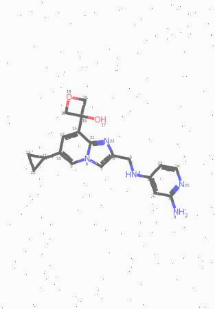 Nc1cc(NCc2cn3cc(C4CC4)cc(C4(O)COC4)c3n2)ccn1